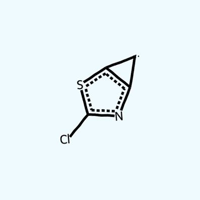 Clc1nc2c(s1)[CH]2